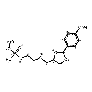 COc1ccc(C2OCC(COCCOP(=O)(O)OC(C)C)O2)cc1